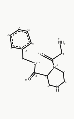 NCC(=O)N1CCNCC1C(=O)OCc1ccccc1